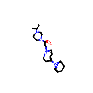 CC(C)N1CCCN(C(=O)CN2CCC(N3CCCCC3)CC2)CC1